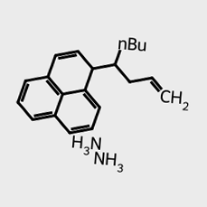 C=CCC(CCCC)C1C=Cc2cccc3cccc1c23.N.N